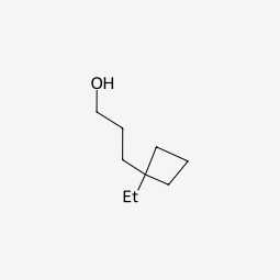 CCC1(CCCO)CCC1